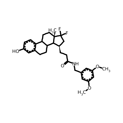 COc1cc(CNC(=O)CC[C@@H]2CC(F)(F)[C@@]3(C)CCC4c5ccc(O)cc5CCC4C23)cc(OC)c1